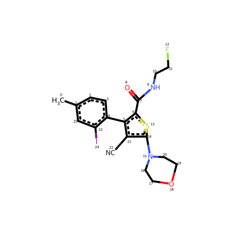 Cc1ccc(-c2c(C(=O)NCCF)sc(N3CCOCC3)c2C#N)c(I)c1